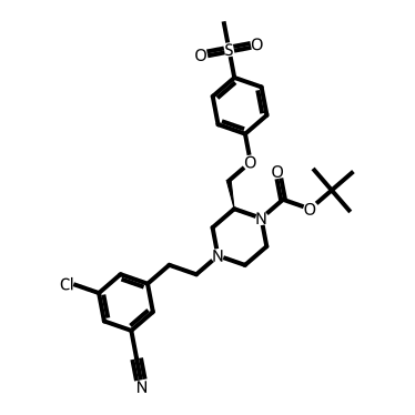 CC(C)(C)OC(=O)N1CCN(CCc2cc(Cl)cc(C#N)c2)C[C@H]1COc1ccc(S(C)(=O)=O)cc1